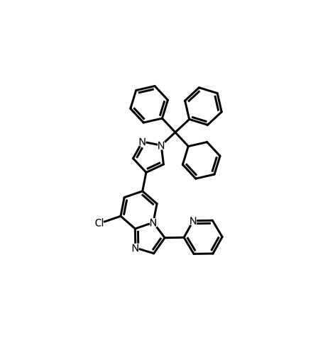 Clc1cc(-c2cnn(C(c3ccccc3)(c3ccccc3)C3C=CC=CC3)c2)cn2c(-c3ccccn3)cnc12